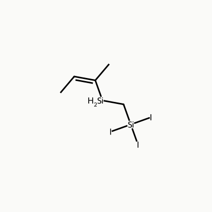 CC=C(C)[SiH2]C[Si](I)(I)I